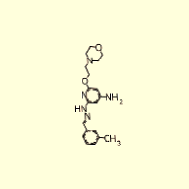 Cc1cccc(C=NNc2cc(N)cc(OCCN3CCOCC3)n2)c1